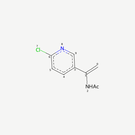 C=C(NC(C)=O)c1ccc(Cl)nc1